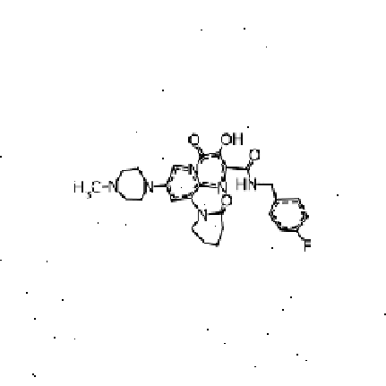 CN1CCN(c2cc(N3CCCCC3=O)c3nc(C(=O)NCc4ccc(F)cc4)c(O)c(=O)n3c2)CC1